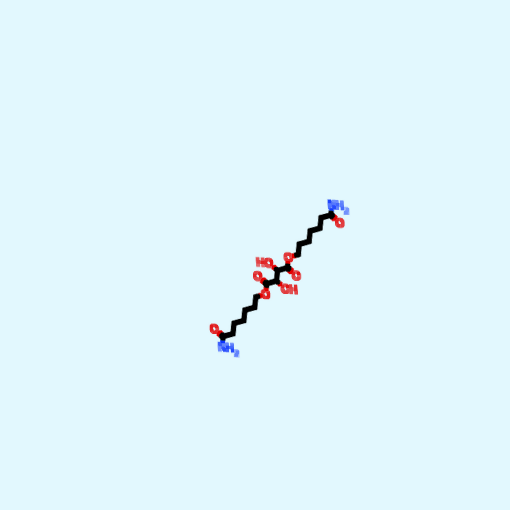 NC(=O)CCCCCCOC(=O)C(O)C(O)C(=O)OCCCCCCC(N)=O